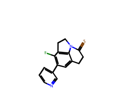 Fc1c(-c2cccnc2)cc2c3c1CCN3C(=S)CC2